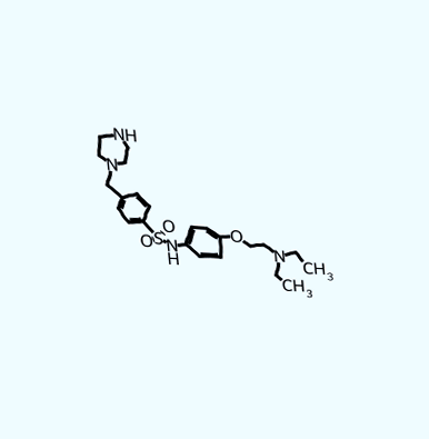 CCN(CC)CCOc1ccc(NS(=O)(=O)c2ccc(CN3CCNCC3)cc2)cc1